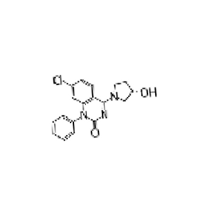 O=c1nc(N2CC[C@H](O)C2)c2ccc(Cl)cc2n1-c1ccccc1